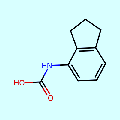 O=C(O)Nc1cccc2c1CCC2